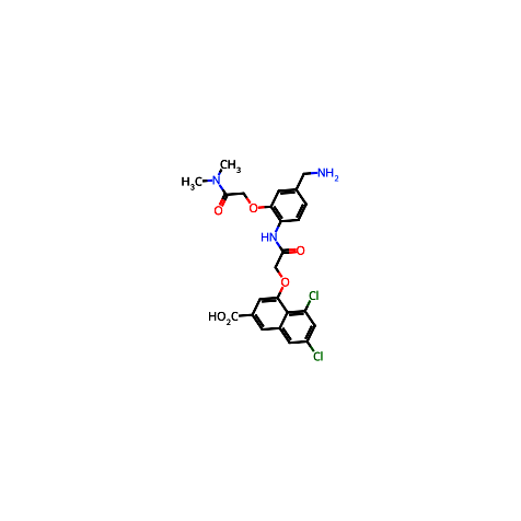 CN(C)C(=O)COc1cc(CN)ccc1NC(=O)COc1cc(C(=O)O)cc2cc(Cl)cc(Cl)c12